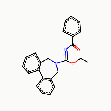 CCO/C(=N\C(=O)c1ccccc1)N1Cc2ccccc2-c2ccccc2C1